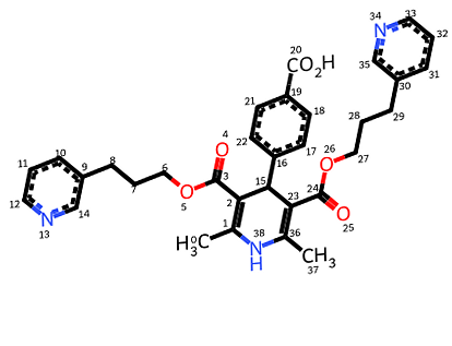 CC1=C(C(=O)OCCCc2cccnc2)C(c2ccc(C(=O)O)cc2)C(C(=O)OCCCc2cccnc2)=C(C)N1